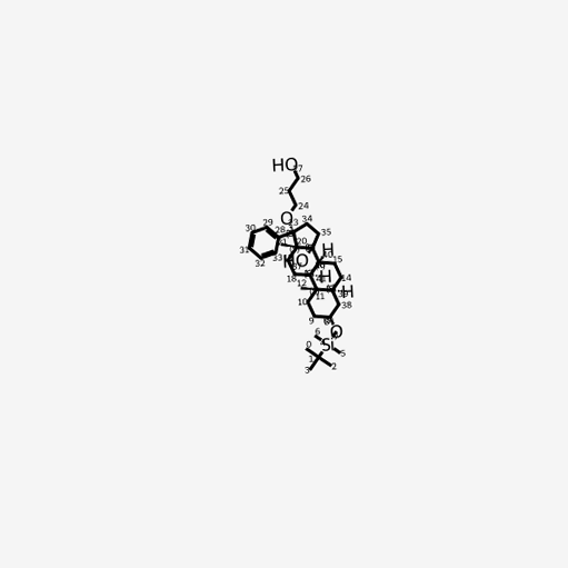 CC(C)(C)[Si](C)(C)O[C@H]1CC[C@@]2(C)[C@@H](CC[C@@H]3[C@@H]2CC[C@]2(C)[C@@](OCCCO)(c4ccccc4)CC[C@]32O)C1